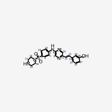 O=S(=O)(c1ccc(Nc2cnc(/C=C/c3cccc(O)c3)cn2)cc1)N1CCNCC1